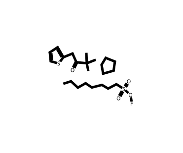 C1CCCC1.CC(C)(C)C(=O)Cc1cccs1.CCCCCCCCS(=O)(=O)OF